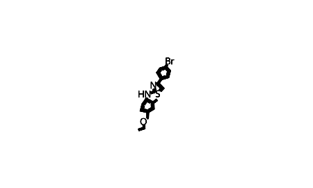 CCOCc1ccc(Nc2nc(-c3ccc(Br)cc3)cs2)c(C)c1